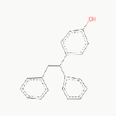 Oc1ccc(C(Cc2ccccc2)c2ccccc2)cc1